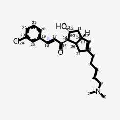 CN(C)CCCCCC1=C[C@H]2C[C@@H](O)[C@H](C(=O)/C=C/c3cccc(Cl)c3)C2C1